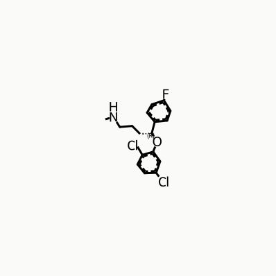 CNCCC[C@@H](Oc1cc(Cl)ccc1Cl)c1ccc(F)cc1